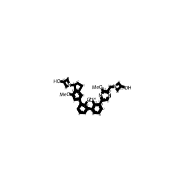 COc1cc(-c2cccc(-c3cccc(-c4cnc(CN5CC(O)C5)c(OC)n4)c3Cl)c2Cl)cc2c1C(N1CC(O)C1)CC2